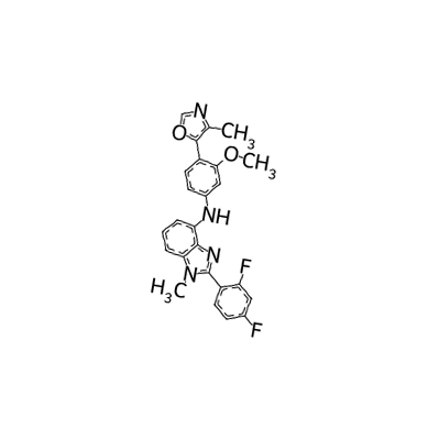 COc1cc(Nc2cccc3c2nc(-c2ccc(F)cc2F)n3C)ccc1-c1ocnc1C